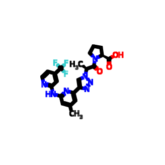 Cc1cc(Nc2cc(C(F)(F)F)ccn2)nc(-c2cn([C@@H](C)C(=O)N3CCC[C@H]3C(=O)O)nn2)c1